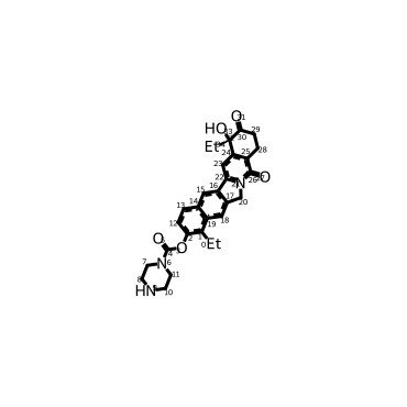 CCc1c(OC(=O)N2CCNCC2)ccc2cc3c(cc12)Cn1c-3cc2c(c1=O)CCC(=O)[C@]2(O)CC